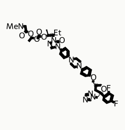 CC[C@@H]([C@H](C)OC(=O)OC(C)OC(=O)CNC)n1ncn(-c2ccc(N3CCN(c4ccc(OC[C@@H]5CO[C@@](Cn6cncn6)(c6ccc(F)cc6F)C5)cc4)CC3)cc2)c1=O